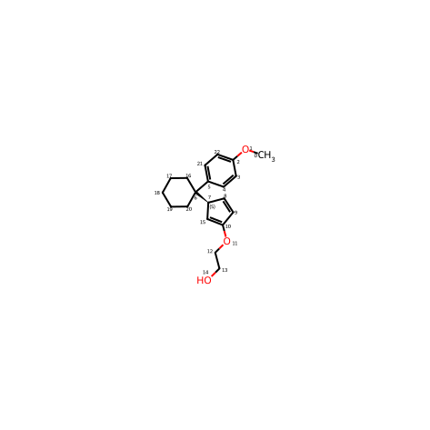 COc1ccc(C2([C@H]3C=CC(OCCO)=C3)CCCCC2)cc1